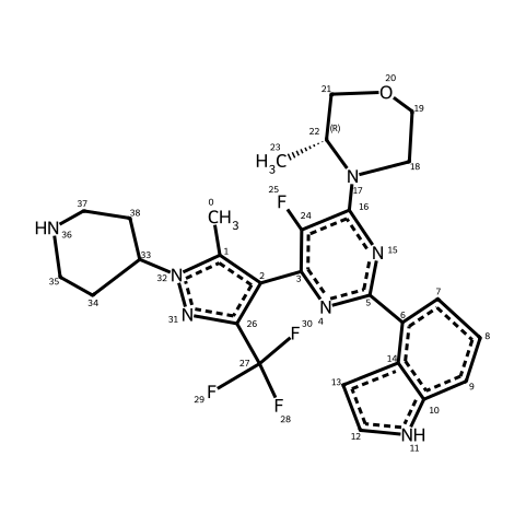 Cc1c(-c2nc(-c3cccc4[nH]ccc34)nc(N3CCOC[C@H]3C)c2F)c(C(F)(F)F)nn1C1CCNCC1